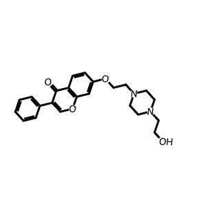 O=c1c(-c2ccccc2)coc2cc(OCCN3CCN(CCO)CC3)ccc12